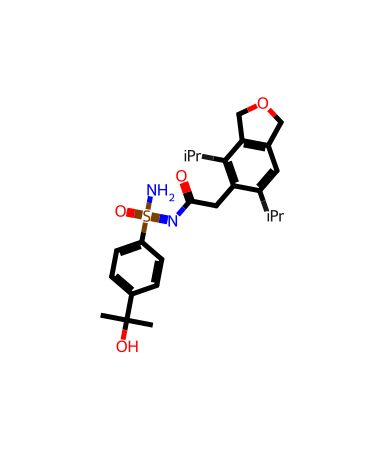 CC(C)c1cc2c(c(C(C)C)c1CC(=O)N=S(N)(=O)c1ccc(C(C)(C)O)cc1)COC2